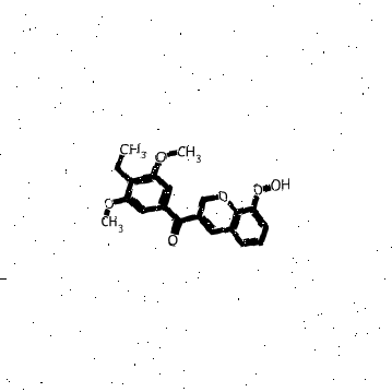 CCc1c(OC)cc(C(=O)C2=Cc3cccc(OO)c3OC2)cc1OC